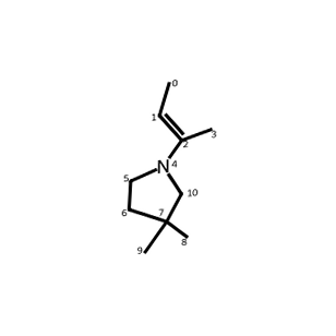 CC=C(C)N1CCC(C)(C)C1